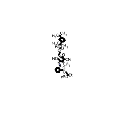 C=C(C)c1cccc(C(C)(C)NC(=O)OCCn2c(O)c(/N=N/c3ccccc3C(=O)OCC(CC)CCCC)c(C)c(C#N)c2=O)c1